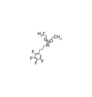 CCO[SiH](CCCCc1cc(F)c(F)c(F)c1F)OCC